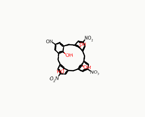 O=Nc1cc2c(O)c(c1)Cc1cc([N+](=O)[O-])cc(c1O)Cc1cc([N+](=O)[O-])cc(c1O)Cc1cc([N+](=O)[O-])cc(c1O)C2